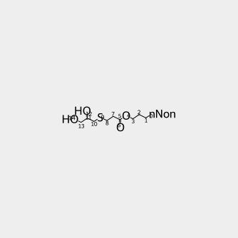 CCCCCCCCCCCCOC(=O)CCSCC(O)CO